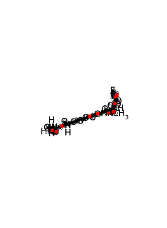 Cc1ccc(C(=O)NCCOCCOCCOCCOCCOCCNC(=O)CCCC[C@@H]2SC[C@@H]3NC(=O)N[C@@H]32)cc1NC(=O)C(=O)CC(=O)c1ccc(F)cc1